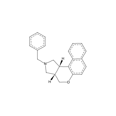 c1ccc(CN2C[C@H]3COc4ccc5ccccc5c4[C@H]3C2)cc1